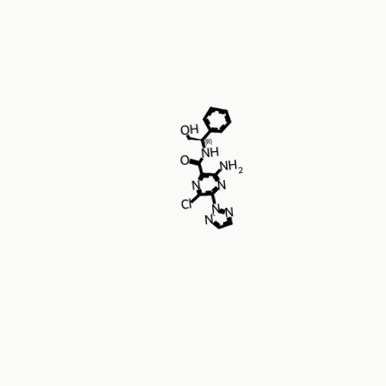 Nc1nc(-n2nccn2)c(Cl)nc1C(=O)N[C@@H](CO)c1ccccc1